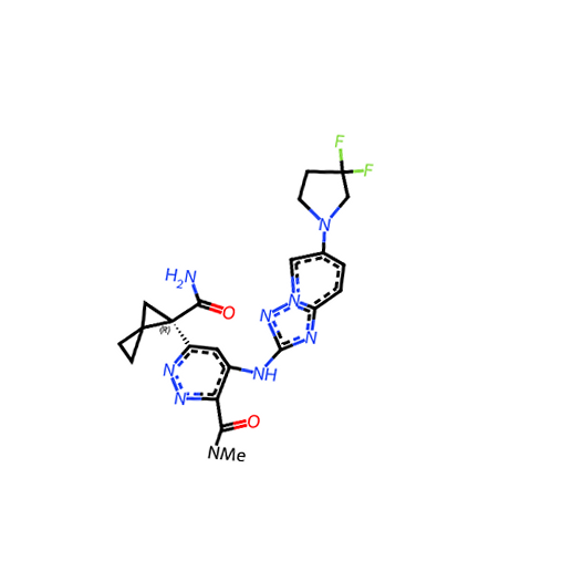 CNC(=O)c1nnc([C@@]2(C(N)=O)CC23CC3)cc1Nc1nc2ccc(N3CCC(F)(F)C3)cn2n1